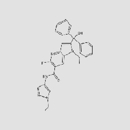 CCn1cc(NC(=O)c2cc3c(cc(C(O)(c4ccccc4)c4ccccc4)n3CC)nc2F)cn1